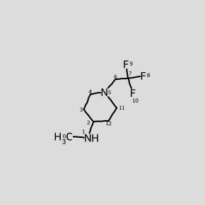 CNC1CCN(CC(F)(F)F)CC1